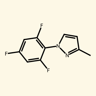 Cc1ccn(-c2c(F)cc(F)cc2F)n1